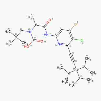 CC(C(=O)Nc1cc(Br)c(Cl)c(C#C[Si](C(C)C)(C(C)C)C(C)C)n1)N(CC(C)(C)C)C(=O)O